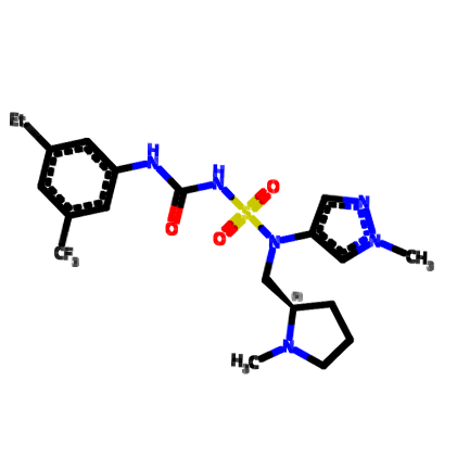 CCc1cc(NC(=O)NS(=O)(=O)N(C[C@H]2CCCN2C)c2cnn(C)c2)cc(C(F)(F)F)c1